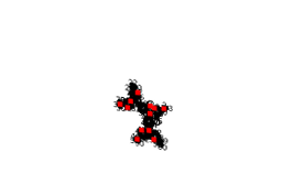 CC(C)(C)c1cc2c3c(c1)Sc1cc(-n4c5ccc(C(C)(C)C)cc5c5cc(C(C)(C)C)ccc54)ccc1B3c1ccc(-n3c4ccc(C(C)(C)C)cc4c4cc(C(C)(C)C)ccc43)cc1S2